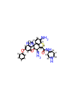 Cc1cc(Oc2ccccc2)ccc1C1(N)C(=O)C(N)c2c(C(=O)NC3=CC=CNC=C3)sc3c(N)ccc1c23